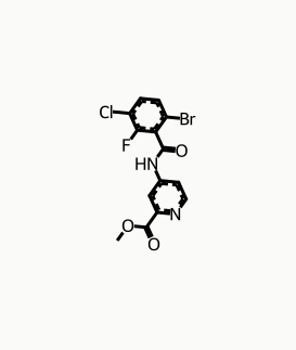 COC(=O)c1cc(NC(=O)c2c(Br)ccc(Cl)c2F)ccn1